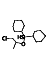 CC(CCl)O[SiH](C1CCCCC1)C1CCCCC1